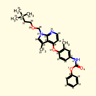 Cc1cc(NC(=O)Oc2ccccc2)ccc1Oc1ccnc2c1c(C(F)(F)F)cn2COCC[Si](C)(C)C